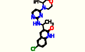 CC(C)[C@H]1COCCN1c1ccnc(N[C@@H](C)c2cc3cc(Cl)ccc3[nH]c2=O)n1